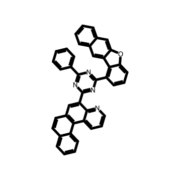 c1ccc(-c2nc(-c3cc4ccc5ccccc5c4c4cccnc34)nc(-c3cccc4oc5cc6ccccc6cc5c34)n2)cc1